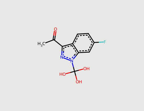 CC(=O)c1nn(C(O)(O)O)c2cc(F)ccc12